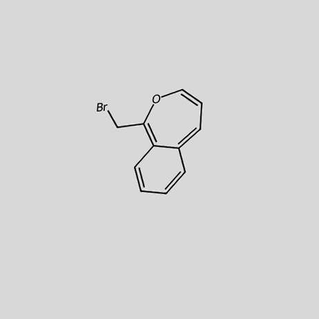 BrCC1=c2ccccc2=CC=CO1